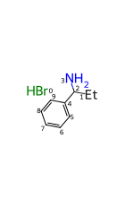 Br.CCC(N)c1ccccc1